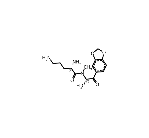 C[C@@H](C(=O)c1ccc2c(c1)OCO2)N(C)C(=O)[C@@H](N)CCCN